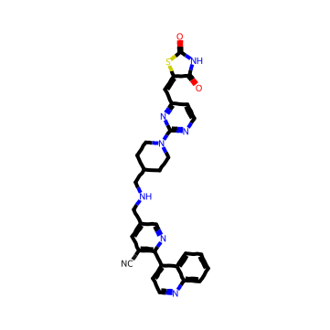 N#Cc1cc(CNCC2CCN(c3nccc(C=C4SC(=O)NC4=O)n3)CC2)cnc1-c1ccnc2ccccc12